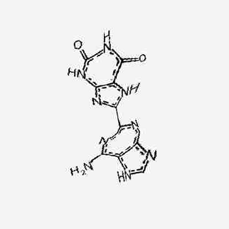 Nc1nc(-c2nc3[nH]c(=O)[nH]c(=O)c3[nH]2)nc2nc[nH]c12